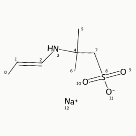 CC=CNC(C)(C)CS(=O)(=O)[O-].[Na+]